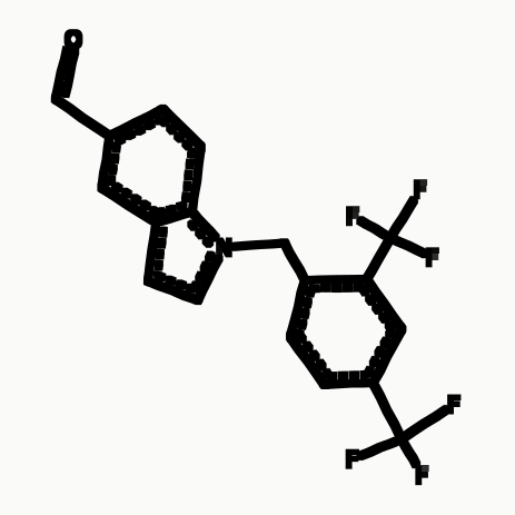 O=Cc1ccc2c(ccn2Cc2ccc(C(F)(F)F)cc2C(F)(F)F)c1